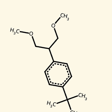 COCC(COC)c1ccc(C(C)(C)C)cc1